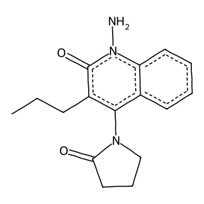 CCCc1c(N2CCCC2=O)c2ccccc2n(N)c1=O